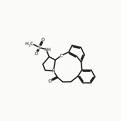 CS(=O)(=O)NC1CCN2C(=O)CCc3ccccc3-c3cccc(c3)CC12